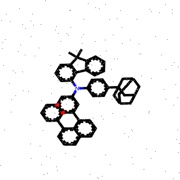 CC1(C)c2ccccc2-c2c(N(c3ccc(C45CC6CC(CC(C6)C4)C5)cc3)c3cccc(-c4cccc5cccc(-c6ccccc6)c45)c3)cccc21